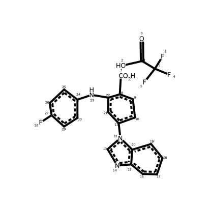 O=C(O)C(F)(F)F.O=C(O)c1ccc(-n2cnc3ccccc32)cc1Nc1ccc(F)cc1